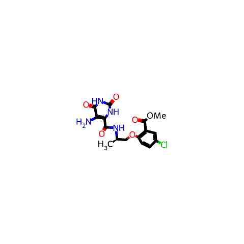 COC(=O)c1cc(Cl)ccc1OC[C@@H](C)NC(=O)c1[nH]c(=O)[nH]c(=O)c1N